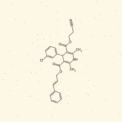 CC1=C(C(=O)OCC=Cc2ccccc2)C(c2cccc(Cl)c2)C(C(=O)OCCC#N)=C(C)N1